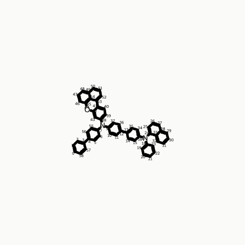 c1ccc(-c2ccc(N(c3ccc(-c4ccc(N(c5ccccc5)c5cccc6ccccc56)cc4)cc3)c3ccc4c(c3)Oc3cccc5cccc-4c35)cc2)cc1